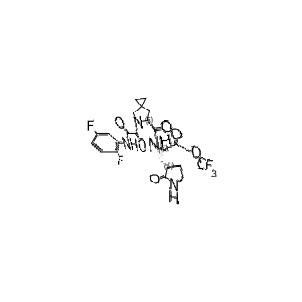 O=C(Nc1cc(F)ccc1F)C(=O)N1CC2(CC2)C[C@H]1C(=O)N[C@@H](C[C@@H]1CCNC1=O)C(=O)COC(F)(F)F